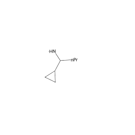 CCCC([NH])C1CC1